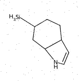 [SiH3]C1CCC2C=CNC2C1